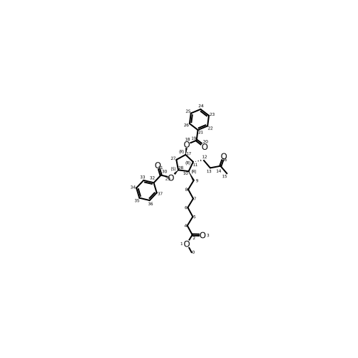 COC(=O)CCCCCC[C@@H]1[C@@H](CCC(C)=O)[C@H](OC(=O)c2ccccc2)C[C@@H]1OC(=O)c1ccccc1